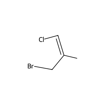 CC(=CCl)CBr